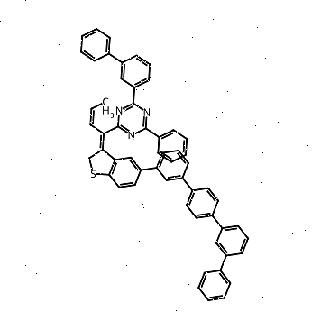 C/C=C\C(=C1/CSc2ccc(-c3cccc(-c4ccc(-c5cccc(-c6ccccc6)c5)cc4)c3)cc21)c1nc(-c2ccccc2)nc(-c2cccc(-c3ccccc3)c2)n1